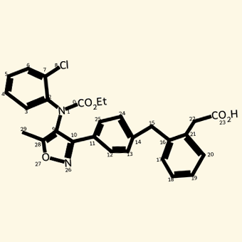 CCOC(=O)N(c1ccccc1Cl)c1c(-c2ccc(Cc3ccccc3CC(=O)O)cc2)noc1C